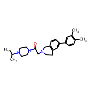 Cc1ccc(-c2ccc3c(c2)CCN(CC(=O)N2CCN(C(C)C)CC2)C3)cc1C